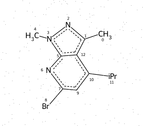 Cc1nn(C)c2nc(Br)cc(C(C)C)c12